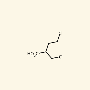 O=C(O)C(CCl)CCCl